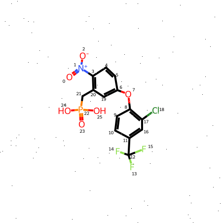 O=[N+]([O-])c1ccc(Oc2ccc(C(F)(F)F)cc2Cl)cc1CP(=O)(O)O